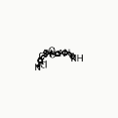 N#Cc1ccc(OC2CC3N(C(=O)Oc4ccc(N5CCN(CC6CCNCC6)CC5)cc4)C4CCC243)cc1Cl